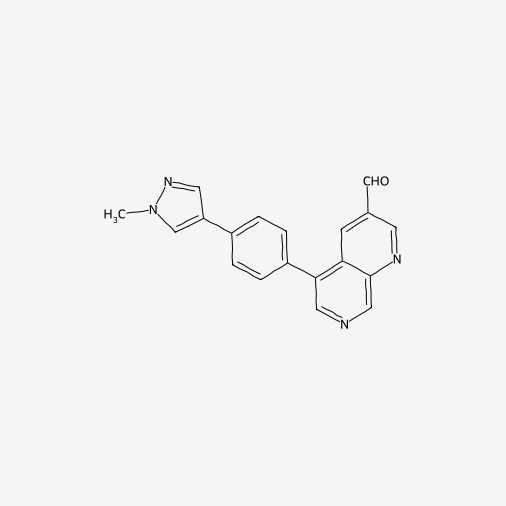 Cn1cc(-c2ccc(-c3cncc4ncc(C=O)cc34)cc2)cn1